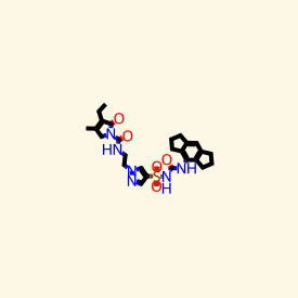 CCC1=C(C)CN(C(=O)NCCn2cc(S(=O)(=O)NC(=O)Nc3c4c(cc5c3CCC5)CCC4)cn2)C1=O